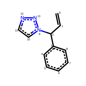 C=CC(c1ccccc1)n1ccnn1